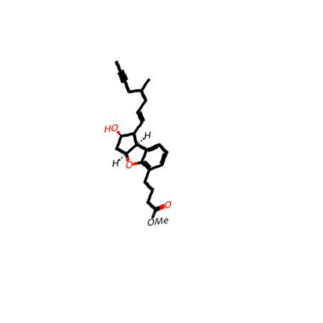 CC#CCC(C)C/C=C/C1[C@H](O)C[C@@H]2Oc3c(CCCC(=O)OC)cccc3[C@H]12